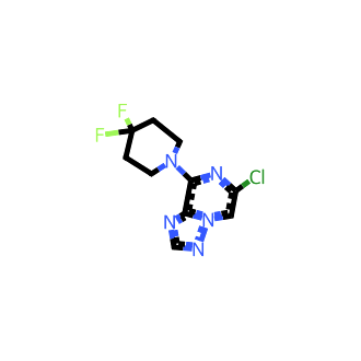 FC1(F)CCN(c2nc(Cl)cn3ncnc23)CC1